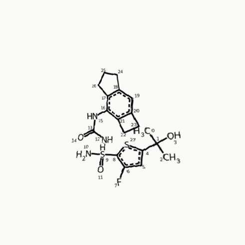 CC(C)(O)c1cc(F)c([SH](N)(=O)NC(=O)Nc2c3c(cc4c2CC4)CCC3)s1